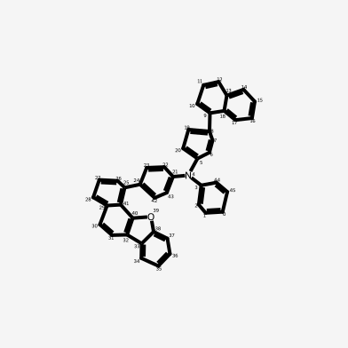 c1ccc(N(c2ccc(-c3cccc4ccccc34)cc2)c2ccc(-c3cccc4ccc5c6ccccc6oc5c34)cc2)cc1